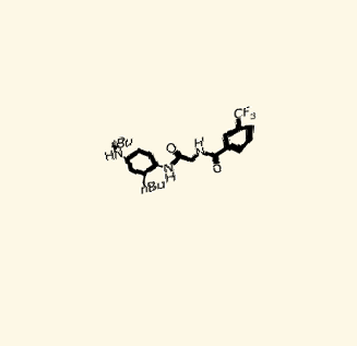 CCCC[C@H]1C[C@H](NC(C)(C)C)CC[C@@H]1NC(=O)CNC(=O)c1cccc(C(F)(F)F)c1